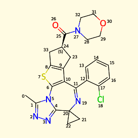 Cc1nnc2n1-c1sc3c(c1C(c1ccccc1Cl)=NC21CC1)C[C@H](C(=O)N1CCOCC1)C3